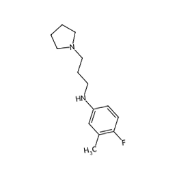 Cc1cc(NCCCN2CCCC2)ccc1F